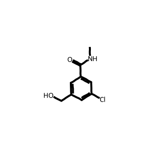 CNC(=O)c1cc(Cl)cc(CO)c1